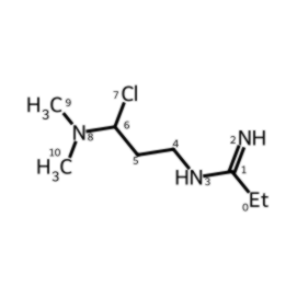 CCC(=N)NCCC(Cl)N(C)C